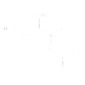 CCCCC(CCC)OC(=O)C(C)=CC(=O)O